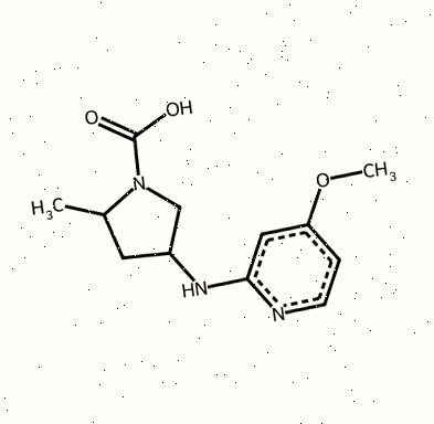 COc1ccnc(NC2CC(C)N(C(=O)O)C2)c1